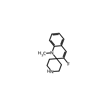 CN1c2ccccc2C=C(F)C12CCNCC2